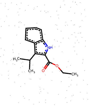 CCOC(=O)c1[nH]c2ccccc2c1C(C)C